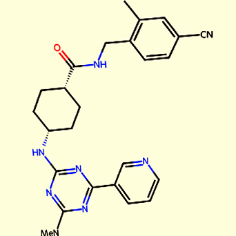 CNc1nc(N[C@H]2CC[C@@H](C(=O)NCc3ccc(C#N)cc3C)CC2)nc(-c2cccnc2)n1